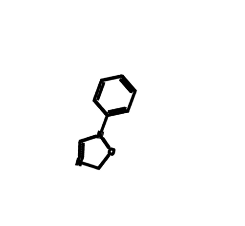 C1=NCON1c1ccccc1